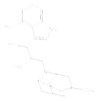 Cc1cccc2[nH]cc(C(C)C(C=O)CN3C4CC5CC3CC(C(=O)O)(C5)C4)c12